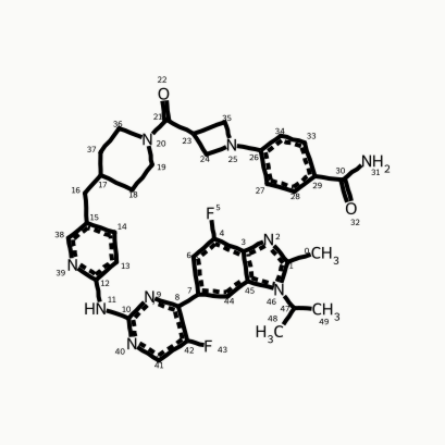 Cc1nc2c(F)cc(-c3nc(Nc4ccc(CC5CCN(C(=O)C6CN(c7ccc(C(N)=O)cc7)C6)CC5)cn4)ncc3F)cc2n1C(C)C